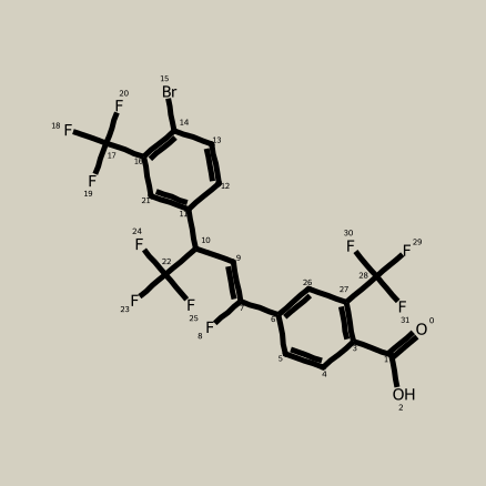 O=C(O)c1ccc(C(F)=CC(c2ccc(Br)c(C(F)(F)F)c2)C(F)(F)F)cc1C(F)(F)F